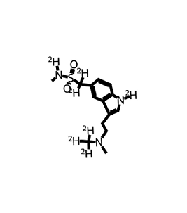 [2H]N(C)S(=O)(=O)C([2H])([2H])c1ccc2c(c1)c(CCN(C)C([2H])([2H])[2H])cn2[2H]